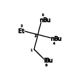 [CH2]C(CC)CC(CC)(CCCC)CCCC